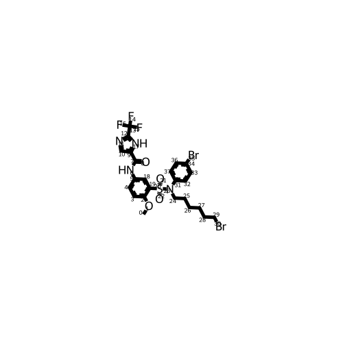 COc1ccc(NC(=O)c2cnc(C(F)(F)F)[nH]2)cc1S(=O)(=O)N(CCCCCCBr)c1ccc(Br)cc1